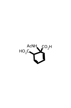 CC(=O)NC1(C(=O)O)C=CC=CC1C(=O)O